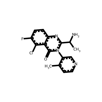 Cc1ccncc1-n1c(C(C)N)nc2ccc(F)c(Cl)c2c1=O